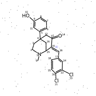 CN1CCC2(c3cccc(O)c3)CC(=O)/C(=C/c3ccc(Cl)c(Cl)c3)C1C2